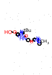 C[C@H]1CCCCN1c1nnc2ccc(OC3CCC(NC(=O)Nc4cc(C(C)(C)C)nn4-c4cccc(OCCO)c4)CC3)cn12